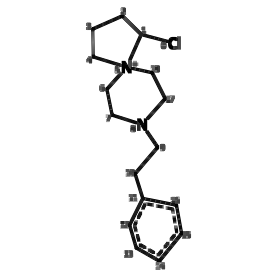 ClC1CCC[N+]12CCN(CCc1ccccc1)CC2